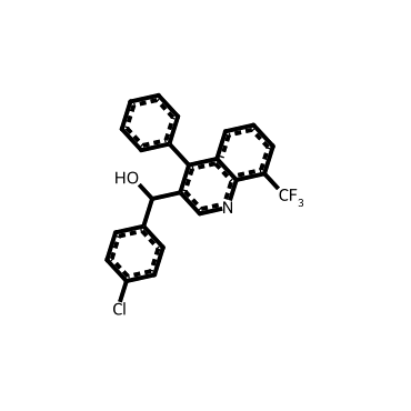 OC(c1ccc(Cl)cc1)c1cnc2c(C(F)(F)F)cccc2c1-c1ccccc1